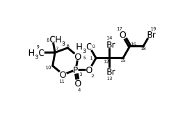 CC(OP1(=O)OCC(C)(C)CO1)C(Br)(Br)CC(=O)CBr